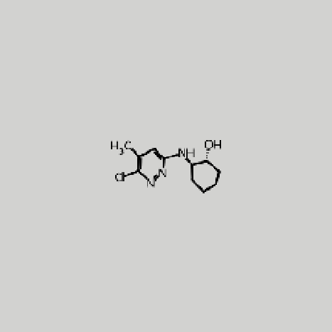 Cc1cc(N[C@@H]2CCCC[C@H]2O)nnc1Cl